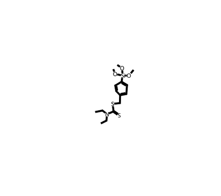 CCN(CC)C(=S)SCc1ccc([Si](OC)(OC)OC)cc1